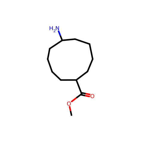 COC(=O)C1CCCCC(N)CCCC1